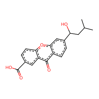 CC(C)CC(O)c1ccc2c(=O)c3cc(C(=O)O)ccc3oc2c1